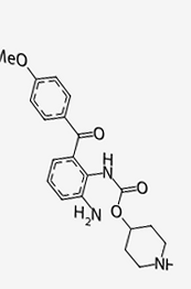 COc1ccc(C(=O)c2cccc(N)c2NC(=O)OC2CCNCC2)cc1